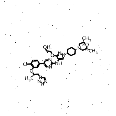 C[C@@H]1CN([C@H]2CC[C@H](n3cc(Nc4ncc(-c5ccc(Cl)c(O[C@@H](C)Cn6cnnn6)c5)cn4)c(OCCO)n3)CC2)C[C@H](C)O1